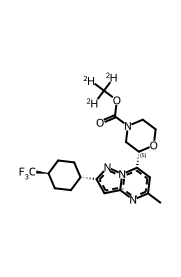 [2H]C([2H])([2H])OC(=O)N1CCO[C@H](c2cc(C)nc3cc([C@H]4CC[C@H](C(F)(F)F)CC4)nn23)C1